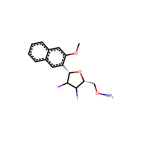 COc1cc2ccccc2cc1[C@@H]1O[C@H](CON)C(I)C1I